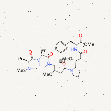 CC[C@H](C)[C@@H]([C@@H](CC(=O)N1CCC[C@H]1[C@H](OC)[C@@H](C)C(=O)N[C@@H](Cc1ccccc1)C(=O)OC)OC)N(C)C(=O)[C@@H](NC(=O)[C@H](C(C)C)N(C)SC)C(C)C